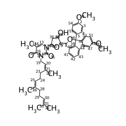 COc1ccc(C(OC[C@H]2O[C@@H](n3cc(C)c(=O)n(CC=C(C)CCC=C(C)CCC=C(C)C)c3=O)C[C@H]2O)(c2ccccc2)c2ccc(OC)cc2)cc1